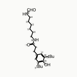 CC(C)(C)c1cc(CCC(=O)NCCCCCCNC=O)cc(C(C)(C)C)c1O